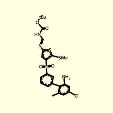 CSc1sc(/N=C/NC(=O)OC(C)(C)C)cc1S(=O)(=O)c1cccc(-c2c(C)cc(Cl)cc2N)c1